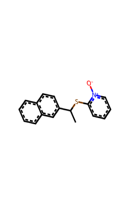 CC(Sc1cccc[n+]1[O-])c1ccc2ccccc2c1